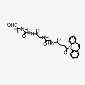 C[C@@H](C=O)NC(=O)CNC(=O)CNC(=O)CNC(=O)CCC(=O)N1c2ccccc2C=Cc2ccccc21